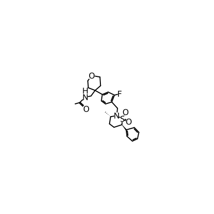 CC(=O)NCC1(c2ccc(CN3[C@@H](C)CC[C@H](c4ccccc4)S3(=O)=O)c(F)c2)CCOCC1